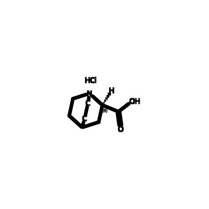 Cl.O=C(O)[C@H]1CC2CCN1CC2